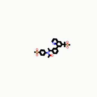 CC(=O)N(c1ccc(S(C)(=O)=O)cc1)C(C)c1cccc(-c2cc(C(C)(C)S(C)(=O)=O)cc3cccnc23)c1